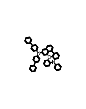 c1ccc(-c2ccc(N(c3ccc(-c4ccccc4)cc3)c3cc4c5c(cccc5c3)-c3cccc(N(c5ccccc5)c5ccccc5)c3O4)cc2)cc1